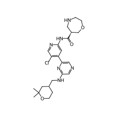 CC1(C)CC(CNc2cncc(-c3cc(NC(=O)[C@H]4CNCCOC4)ncc3Cl)n2)CCO1